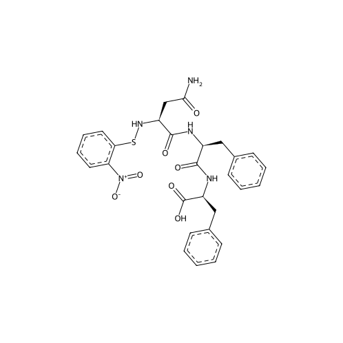 NC(=O)C[C@H](NSc1ccccc1[N+](=O)[O-])C(=O)N[C@@H](Cc1ccccc1)C(=O)N[C@@H](Cc1ccccc1)C(=O)O